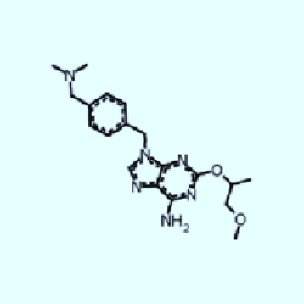 COCC(C)Oc1nc(N)c2ncn(Cc3ccc(CN(C)C)cc3)c2n1